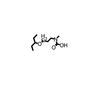 CCC(CC)O[SiH2]CCN(C)C(=O)O